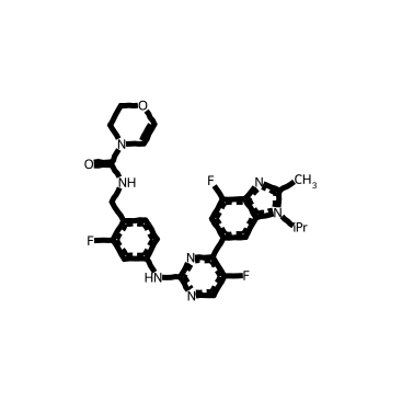 Cc1nc2c(F)cc(-c3nc(Nc4ccc(CNC(=O)N5C=COCC5)c(F)c4)ncc3F)cc2n1C(C)C